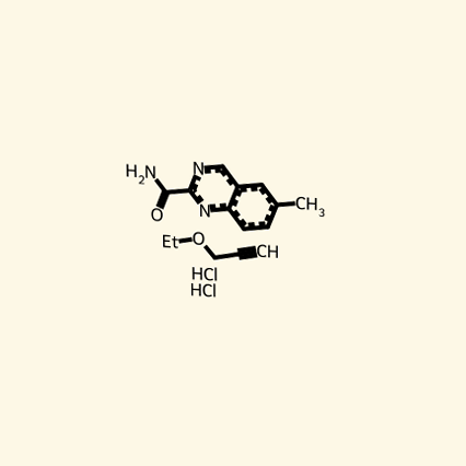 C#CCOCC.Cc1ccc2nc(C(N)=O)ncc2c1.Cl.Cl